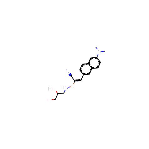 CN(C)c1ccc2cc(/C=C(\C#N)SNCC(O)CO)ccc2c1